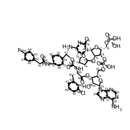 Nc1ccn([C@@H]2O[C@H](COP(=O)(O)O)[C@@H](OP(=O)(O)OC[C@H]3O[C@@H](n4cnc5c(N)ncnc54)[C@H](O)[C@@H]3OC(=O)[C@H](Cc3cccc(Cl)c3)NC(=O)OCc3ccc(NC(=O)Cc4ccc(F)cc4)cc3)[C@H]2OC2CCCO2)c(=O)n1